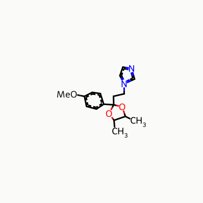 COc1ccc(C2(CCn3ccnc3)OC(C)C(C)O2)cc1